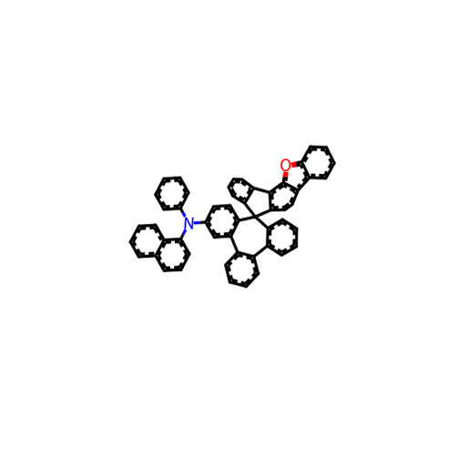 c1ccc(N(c2ccc3c(c2)-c2ccccc2-c2ccccc2C32c3ccccc3-c3c2ccc2c3oc3ccccc32)c2cccc3ccccc23)cc1